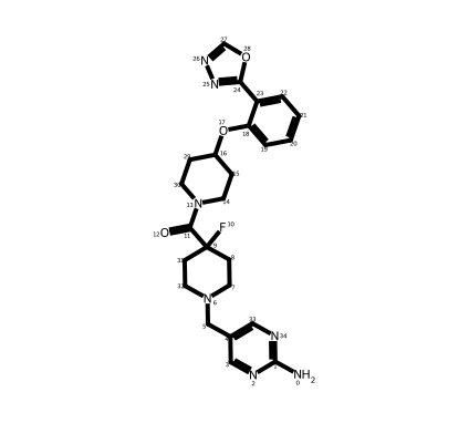 Nc1ncc(CN2CCC(F)(C(=O)N3CCC(Oc4ccccc4-c4nnco4)CC3)CC2)cn1